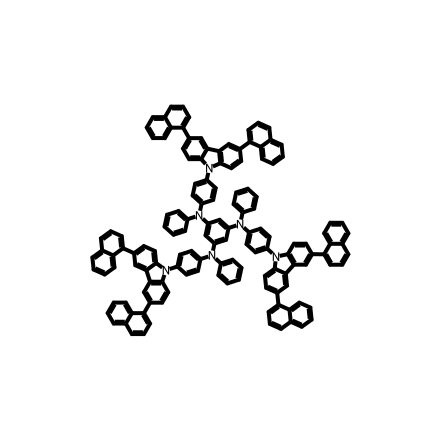 c1ccc(N(c2ccc(-n3c4ccc(-c5cccc6ccccc56)cc4c4cc(-c5cccc6ccccc56)ccc43)cc2)c2cc(N(c3ccccc3)c3ccc(-n4c5ccc(-c6cccc7ccccc67)cc5c5cc(-c6cccc7ccccc67)ccc54)cc3)cc(N(c3ccccc3)c3ccc(-n4c5ccc(-c6cccc7ccccc67)cc5c5cc(-c6cccc7ccccc67)ccc54)cc3)c2)cc1